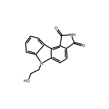 O=C1NC(=O)c2c1ccc1c2c2ccccc2n1CCO